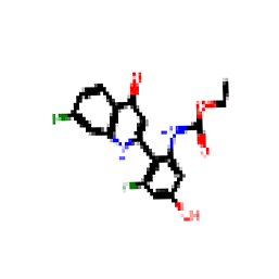 CCOC(=O)Nc1cc(O)cc(F)c1-c1cc(=O)c2ccc(F)cc2[nH]1